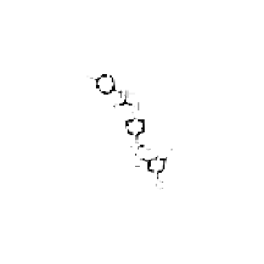 Cc1ccc(NC(=S)Nc2ccc(S(=O)(=O)Nc3cc(Cl)cc(Cl)c3)cc2)cc1